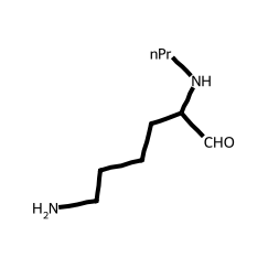 CCCNC(C=O)CCCCN